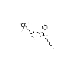 CSCC[C@@H](NC(=O)[C@H](N)Cc1c(C)cc(O)cc1C)C(=O)NCC(=O)N[C@@H](CC1CCCCC1)C(=O)N(C)CCCCCCO.Cl